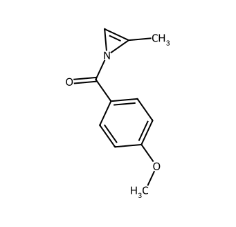 COc1ccc(C(=O)N2C=C2C)cc1